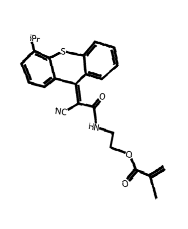 C=C(C)C(=O)OCCNC(=O)/C(C#N)=C1\c2ccccc2Sc2c1cccc2C(C)C